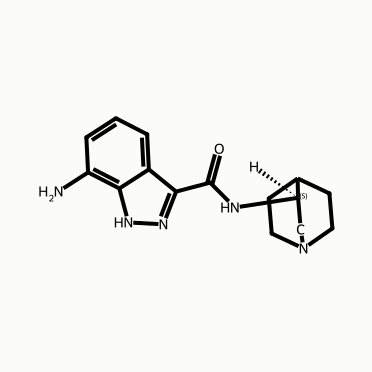 Nc1cccc2c(C(=O)N[C@@H]3CN4CCC3CC4)n[nH]c12